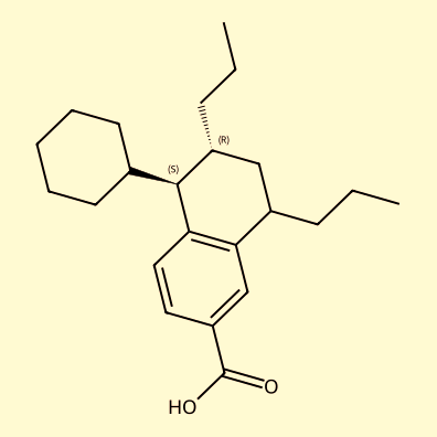 CCCC1C[C@@H](CCC)[C@H](C2CCCCC2)c2ccc(C(=O)O)cc21